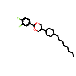 CCCCCCCCC1CCC(C2COC(c3ccc(F)c(F)c3)OC2)CC1